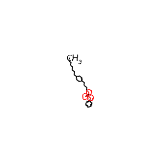 CCCCCCCCC1CC=C(CCCCOC(=O)Oc2ccccc2)CC1